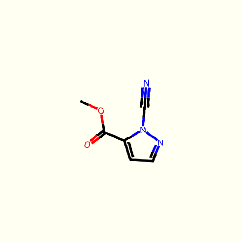 COC(=O)c1ccnn1C#N